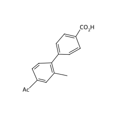 CC(=O)c1ccc(-c2ccc(C(=O)O)cc2)c(C)c1